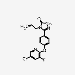 C=CCn1c(-c2ccc(Oc3ncc(Cl)cc3F)cc2)n[nH]c1=O